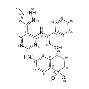 Cc1cc(-c2cnc(Nc3ccc4c(c3)CCCS4(=O)=O)nc2N[C@H](CO)c2ccccc2)n[nH]1